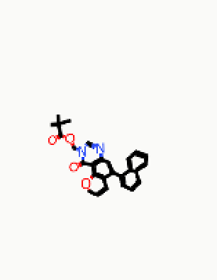 CC(C)(C)C(=O)OCn1cnc2cc(-c3cccc4ccccc34)c3c(c2c1=O)OCC=C3